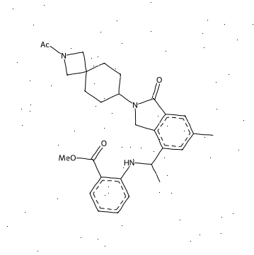 COC(=O)c1ccccc1NC(C)c1cc(C)cc2c1CN(C1CCC3(CC1)CN(C(C)=O)C3)C2=O